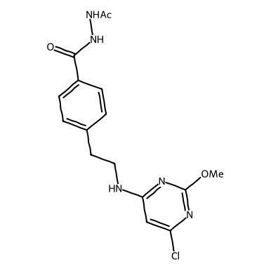 COc1nc(Cl)cc(NCCc2ccc(C(=O)NNC(C)=O)cc2)n1